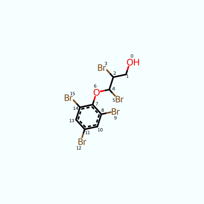 OCC(Br)C(Br)Oc1c(Br)cc(Br)cc1Br